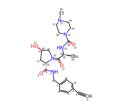 C#Cc1ccc(CNC(=O)[C@@H]2C[C@@H](O)CN2C(=O)[C@@H](NC(=O)N2CCN(CC)CC2)C(C)(C)C)cc1